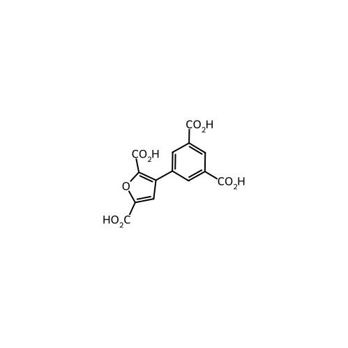 O=C(O)c1cc(C(=O)O)cc(-c2cc(C(=O)O)oc2C(=O)O)c1